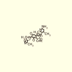 CC(=O)OC(C(=O)NCc1c(C)cc(N)nc1C)n1c(C)cc(=O)n(NCc2c(C)noc2C)c1=O